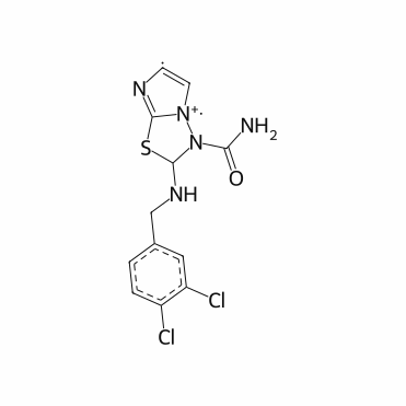 NC(=O)N1C(NCc2ccc(Cl)c(Cl)c2)SC2=N[C]=C[N+]21